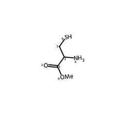 [CH]OC(=O)C(N)CS